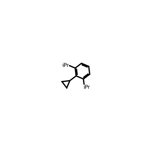 C[C](C)c1cccc(C(C)C)c1C1CC1